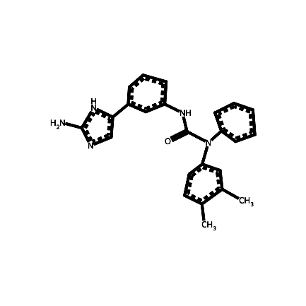 Cc1ccc(N(C(=O)Nc2cccc(-c3cnc(N)[nH]3)c2)c2ccccc2)cc1C